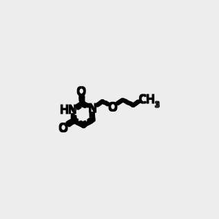 CCCOCn1ccc(=O)[nH]c1=O